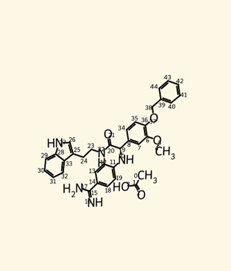 CC(=O)O.COc1cc([C@@H](Nc2ccc(C(=N)N)cc2)C(=O)NCCc2c[nH]c3ccccc23)ccc1OCc1ccccc1